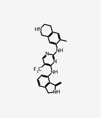 C=C1NCc2cccc(Nc3nc(Nc4cc5c(cc4C)CCNC5)ncc3C(F)(F)F)c21